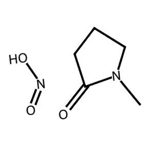 CN1CCCC1=O.O=NO